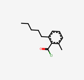 CCCCCc1cccc(C)c1C(=O)Cl